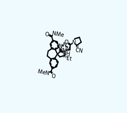 CC[C@H](CC1(c2nnn[nH]2)c2ccc(C(=O)NC)cc2CCc2cc(C(=O)NC)ccc21)NCC(=O)N1CCC[C@H]1C#N